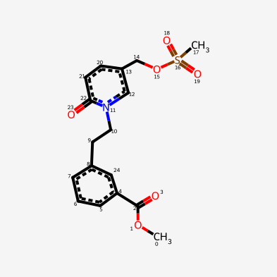 COC(=O)c1cccc(CCn2cc(COS(C)(=O)=O)ccc2=O)c1